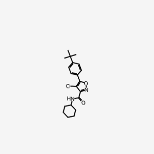 CC(C)(C)c1ccc(-c2onc(C(=O)NC3CCCCC3)c2Cl)cc1